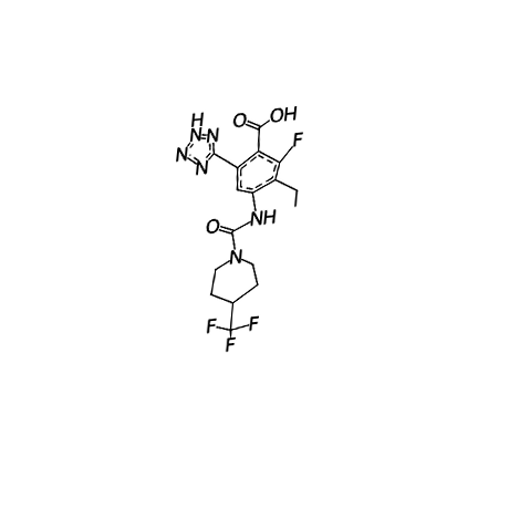 CCc1c(NC(=O)N2CCC(C(F)(F)F)CC2)cc(-c2nn[nH]n2)c(C(=O)O)c1F